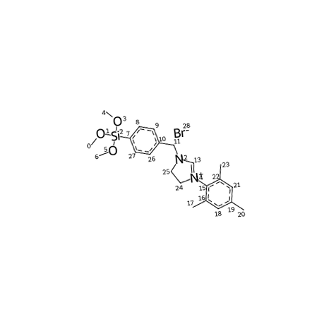 CO[Si](OC)(OC)c1ccc(CN2C=[N+](c3c(C)cc(C)cc3C)CC2)cc1.[Br-]